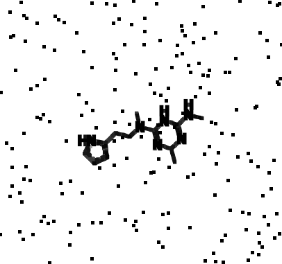 CNC1=NC(C)N=C(N(C)CCc2ccc[nH]2)N1